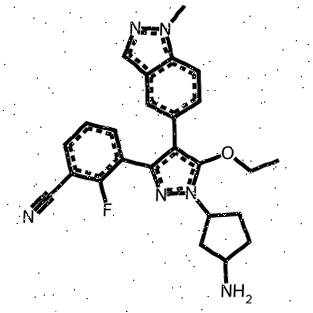 CCOc1c(-c2ccc3c(cnn3C)c2)c(-c2cccc(C#N)c2F)nn1C1CCC(N)C1